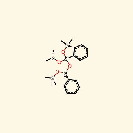 C[SiH](C)O[SiH](O[Si](O[SiH](C)C)(O[Si](C)(C)C)c1ccccc1)c1ccccc1